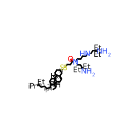 CC[C@H](CC[C@@H](C)[C@H]1CC[C@H]2[C@@H]3CC=C4C[C@@H](SSCCC(=O)N(CCCCNCCC(N)(CC)CC)CCC(N)(CC)CC)CC[C@]4(C)[C@H]3CC[C@]12C)C(C)C